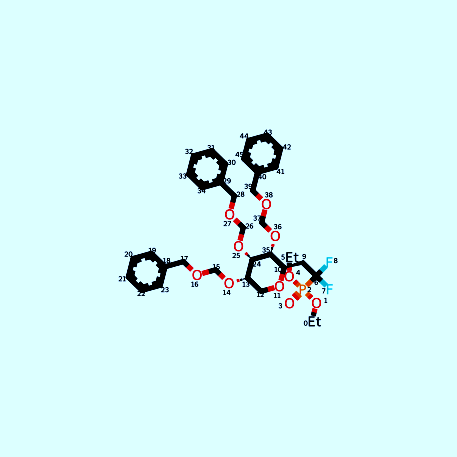 CCOP(=O)(OCC)C(F)(F)C[C@H]1OC[C@H](OCOCc2ccccc2)[C@H](OCOCc2ccccc2)[C@@H]1OCOCc1ccccc1